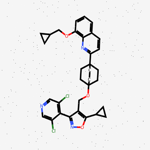 Clc1cncc(Cl)c1-c1noc(C2CC2)c1COC12CCC(c3ccc4cccc(OCC5CC5)c4n3)(CC1)CC2